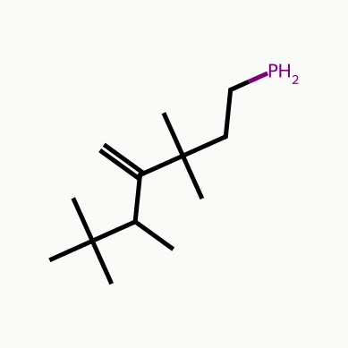 C=C(C(C)C(C)(C)C)C(C)(C)CCP